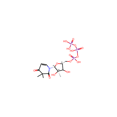 CC1(C)C(=O)C=CN([C@@H]2O[C@H](COP(=O)(O)OP(=O)(O)OP(=O)(O)O)C(O)[C@@]2(C)O)C1=O